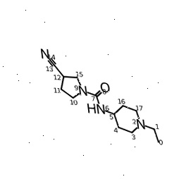 CCN1CCC(NC(=O)N2CCC(C#N)C2)CC1